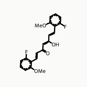 COc1cccc(F)c1/C=C/C(=O)/C=C(O)/C=C/c1c(F)cccc1OC